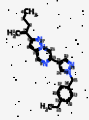 C=C(CCC)c1cc2cnc(-c3cnn(Cc4ccc(CC)cc4)c3)cn2n1